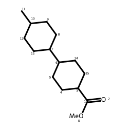 COC(=O)C1CCC(C2CCC(C)CC2)CC1